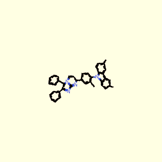 Cc1ccc2c(c1)c1cc(C)ccc1n2-c1ccc(-c2ccn3c(-c4ccccc4)c(-c4ccccc4)nc3n2)cc1C